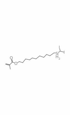 C=C(C)C(=O)OCCCCCCCCCCC[SiH2]C(I)I